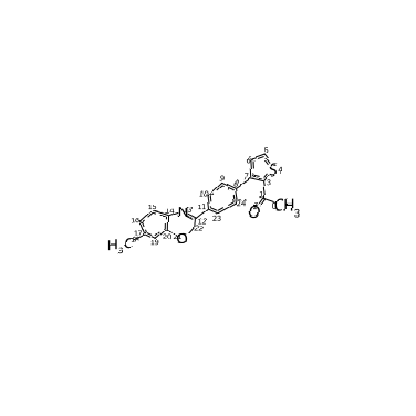 CC(=O)c1sccc1-c1ccc(C2=Nc3ccc(C)cc3OC2)cc1